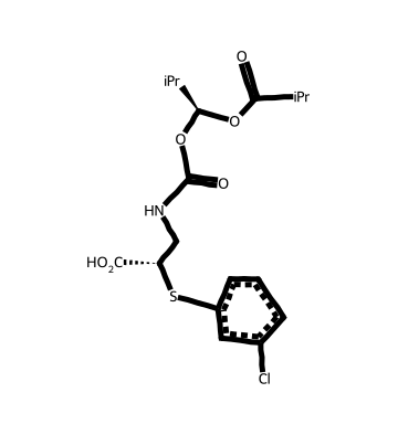 CC(C)C(=O)O[C@@H](OC(=O)NC[C@H](Sc1cccc(Cl)c1)C(=O)O)C(C)C